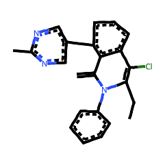 C=C1c2c(cccc2-c2cnc(C)nc2)C(Cl)=C(CC)N1c1ccccc1